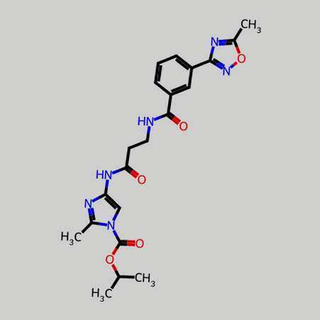 Cc1nc(-c2cccc(C(=O)NCCC(=O)Nc3cn(C(=O)OC(C)C)c(C)n3)c2)no1